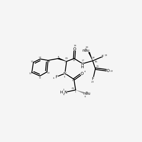 CCCC[C@H](N)C(=O)N(F)[C@@H](Cc1ccccc1)C(=O)N[C@@](F)(CCCC)C(=O)F